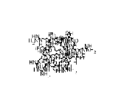 CC(C)C[C@H](NC(=O)[C@H](CC(C)C)NC(=O)[C@H](CCCNC(=N)N)NC(=O)[C@H](CCCCN)NC(=O)[C@H](CCCNC(=N)N)NC(=O)[C@H](CC(C)C)NC(=O)[C@H](CCCCN)NC(=O)[C@H](CCCNC(=N)N)NC(=O)[C@H](CC(C)C)NC(=O)[C@H](Cc1c[nH]cn1)NC(=O)[C@H](CO)NC(=O)[C@H](C)NC(=O)[C@H](C)NC(=O)[C@H](CCCNC(=N)N)NC(=O)[C@@H](NC(=O)[C@H](CCCNC(=N)N)NC(=O)[C@@H](N)CC(C)C)C(C)C)C(=O)O